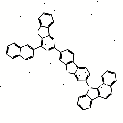 c1ccc2cc(-c3nc(-c4ccc5c(c4)oc4cc(-n6c7ccccc7c7ccc8ccccc8c76)ccc45)nc4c3sc3ccccc34)ccc2c1